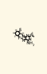 CN(C)c1nc(N)c2ncn(Cc3c(F)cccc3F)c2n1